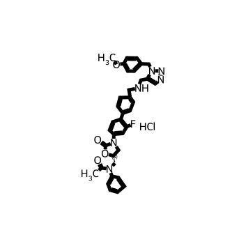 COc1ccc(Cn2nncc2CNCc2ccc(-c3ccc(N4C[C@H](CN(C(C)=O)c5ccccc5)OC4=O)cc3F)cc2)cc1.Cl